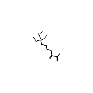 C=C(C)C(=O)CCCC[Si](OC)(OC)OC